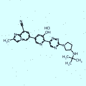 Cc1cn2cc(-c3cnc(-c4cnc(N5CC[C@@H](NC(C)(C)C)C5)nn4)c(O)c3)cc(C#N)c2n1.Cl